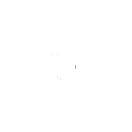 CCBr.[Pd]